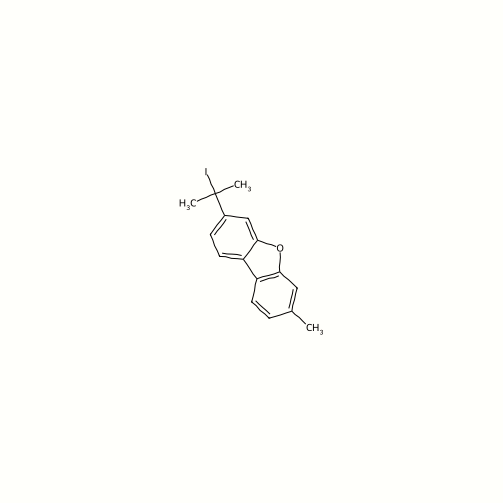 Cc1ccc2c(c1)oc1cc(C(C)(C)I)ccc12